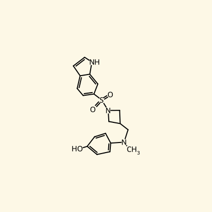 CN(CC1CN(S(=O)(=O)c2ccc3cc[nH]c3c2)C1)c1ccc(O)cc1